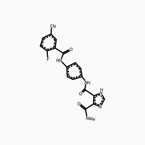 CNC(=O)c1nc[nH]c1C(=O)Nc1ccc(NC(=O)c2cc(C#N)ccc2F)cc1